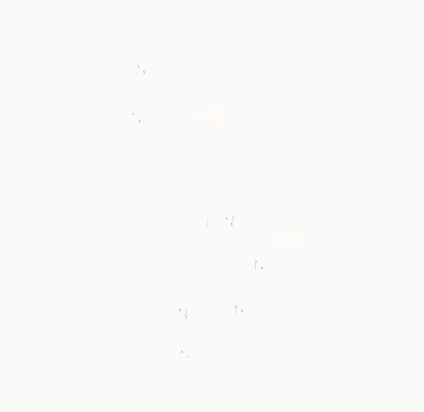 Cc1c[nH]c2nccc(Oc3ccc(CC(N)C(=O)N4CCN(Cc5nccn5C)CC4)cc3F)c12